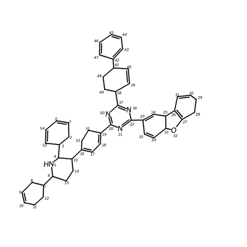 C1=CCC(C2NC(C3CC=CCC3)CCC2C2=CC=C(c3nc(C4=CC5C6=C(CCC=C6)OC5C=C4)nc(C4C=CC(c5ccccc5)CC4)n3)CC2)C=C1